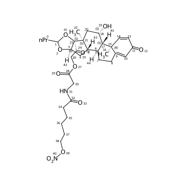 CCCC1O[C@@H]2C[C@H]3[C@@H]4CCC5=CC(=O)C=C[C@]5(C)[C@H]4[C@@H](O)C[C@]3(C)[C@]2(C(=O)COC(=O)CNC(=O)CCCCCO[N+](=O)[O-])O1